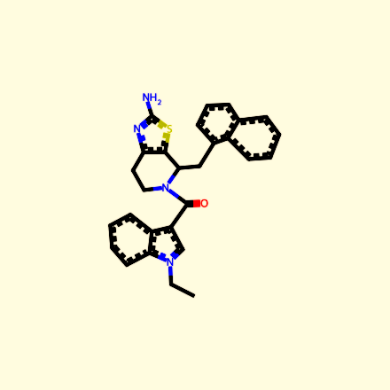 CCn1cc(C(=O)N2CCc3nc(N)sc3C2Cc2cccc3ccccc23)c2ccccc21